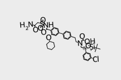 CC(C)(C)[Si](C)(C)O[C@H](CN(CCc1ccc(-c2ccc(C(=O)NS(=O)(=O)CC(N)=O)c(OC3CCCCC3)c2)cc1)C(=O)O)c1cccc(Cl)c1